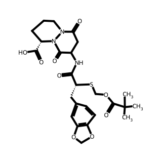 CC(C)(C)C(=O)OCS[C@H](Cc1ccc2c(c1)OCO2)C(=O)NC1CC(=O)N2CCC[C@@H](C(=O)O)N2C1=O